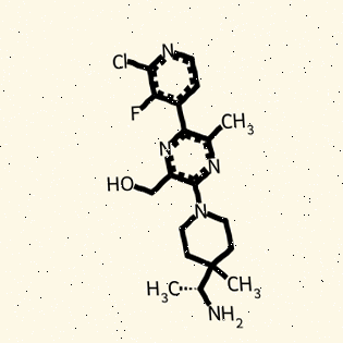 Cc1nc(N2CCC(C)([C@@H](C)N)CC2)c(CO)nc1-c1ccnc(Cl)c1F